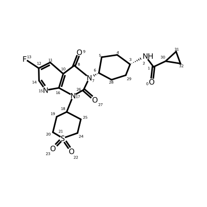 O=C(N[C@H]1CC[C@@H](n2c(=O)c3cc(F)cnc3n(C3CCS(=O)(=O)CC3)c2=O)CC1)C1CC1